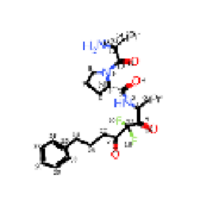 CC(C)C(NC(=O)[C@@H]1CCCN1C(=O)[C@@H](N)C(C)C)C(=O)C(F)(F)C(=O)CCCc1ccccc1